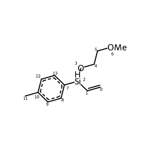 C=C[SiH](OCCOC)c1ccc(C)cc1